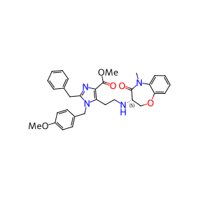 COC(=O)c1nc(Cc2ccccc2)n(Cc2ccc(OC)cc2)c1CCN[C@H]1COc2ccccc2N(C)C1=O